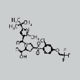 Cn1nc(C(C)(C)C)cc1C(=O)N1CC(S(=O)(=O)c2ccc(OCC(F)(F)F)cc2Cl)CC1C(=O)O